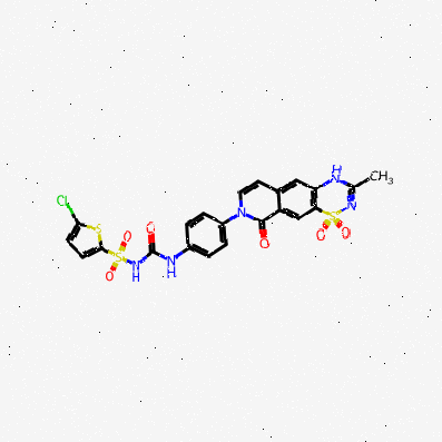 CC1=NS(=O)(=O)c2cc3c(=O)n(-c4ccc(NC(=O)NS(=O)(=O)c5ccc(Cl)s5)cc4)ccc3cc2N1